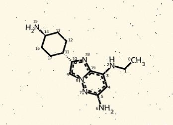 CCNc1cc(N)nn2cc([C@H]3CC[C@H](N)CC3)nc12